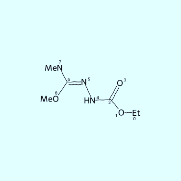 CCOC(=O)NN=C(NC)OC